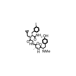 CN[C@@H](Cc1ccc(O)cc1)C(=O)N[C@H](C)C(=O)NCC(=O)N(CC1CC1)[C@@H](Cc1cccc(I)c1)C(N)=O